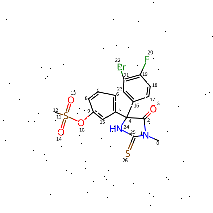 CN1C(=O)C(c2cccc(OS(C)(=O)=O)c2)(c2ccc(F)c(Br)c2)NC1=S